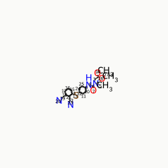 COC(CN(C)C(=O)Nc1ccc(Sc2cccc(C#N)c2C#N)cc1)OC